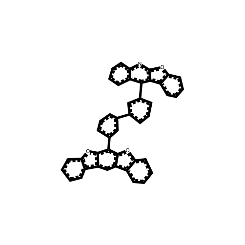 c1cc(-c2cccc(-c3c4ccccc4nc4oc5ccccc5c34)c2)cc(-c2c3oc4ccccc4c3cc3c2oc2ccccc23)c1